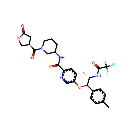 Cc1ccc([C@@H](Oc2ccc(C(=O)N[C@@H]3CCCN(C(=O)[C@H]4COC(=O)C4)C3)nc2)[C@H](C)NC(=O)C(F)(F)F)cc1